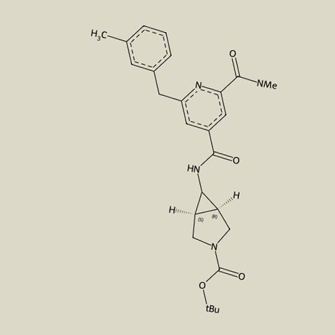 CNC(=O)c1cc(C(=O)NC2[C@H]3CN(C(=O)OC(C)(C)C)C[C@@H]23)cc(Cc2cccc(C)c2)n1